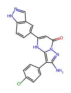 Nc1nn2c(=O)cc(-c3ccc4[nH]ncc4c3)[nH]c2c1-c1ccc(Cl)cc1